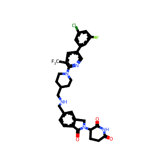 O=C1CCC(N2Cc3cc(CNCC4CCN(c5ncc(-c6cc(F)cc(Cl)c6)cc5C(F)(F)F)CC4)ccc3C2=O)C(=O)N1